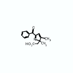 CC1=CC(C(=O)c2ccccc2)=NC1(C)CC(=O)O